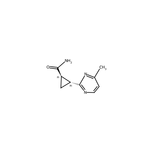 Cc1ccnc([C@@H]2C[C@H]2C(N)=O)n1